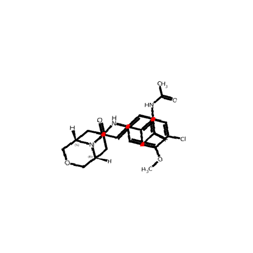 COc1cc(C=CC(=O)N2[C@@H]3COC[C@H]2CC(Nc2ccc(F)cc2)C3)c(NC(C)=O)cc1Cl